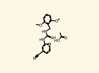 CC(=O)O.COc1cccc(OC)c1CNC(=N)Nc1cc(C#N)ccn1